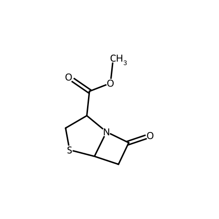 COC(=O)C1CSC2CC(=O)N21